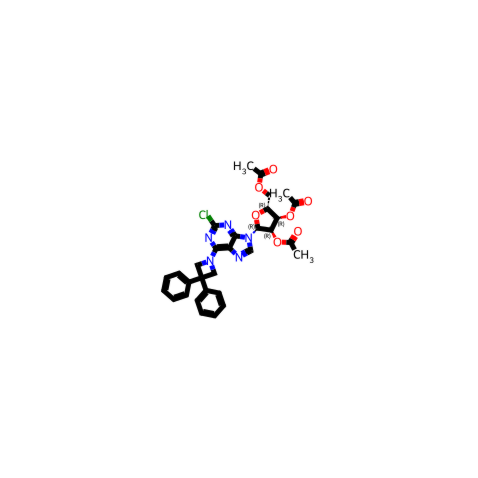 CC(=O)OC[C@H]1O[C@@H](n2cnc3c(N4CC(c5ccccc5)(c5ccccc5)C4)nc(Cl)nc32)[C@H](OC(C)=O)[C@@H]1OC(C)=O